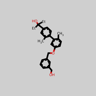 CCC(O)(CC)c1ccc(-c2cc(OCc3cc[c]c(CO)c3)ccc2C)c(C)c1